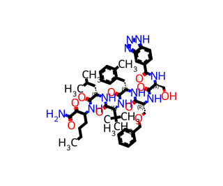 CCCCC(NC(=O)[C@H](CC(C)C)NC(=O)[C@@H](NC(=O)[C@H](Cc1ccccc1C)NC(=O)[C@@H](COCc1ccccc1)NC(=O)[C@H](CO)NC(=O)c1ccc2[nH]nnc2c1)C(C)(C)C)C(=O)C(N)=O